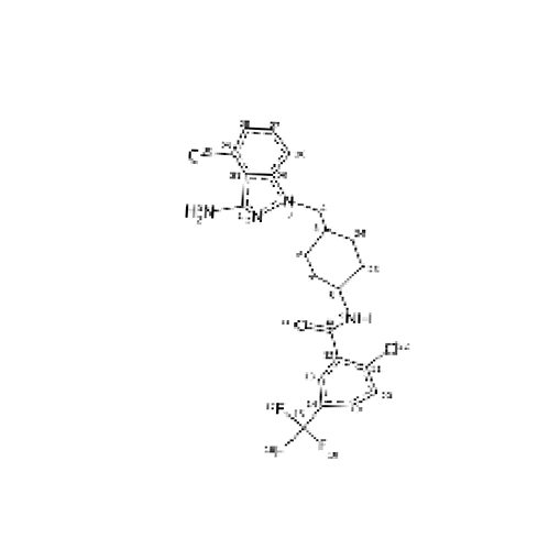 Nc1nn(CC2CCC(NC(=O)c3cc(C(F)(F)F)ccc3Cl)CC2)c2cccc(Cl)c12